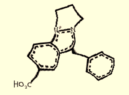 O=C(O)c1ccc2c(c1)c(-c1ccccc1)n1[n+]2CCC1